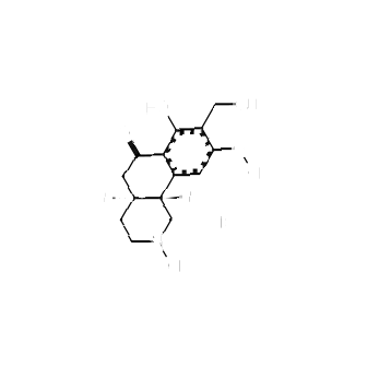 CCc1c(OC)cc2c(c1O)C(=O)C[C@@H]1CCN(C)C[C@@H]21.Cl